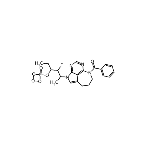 CCC(OP1(=O)OOO1)C(F)C(C)n1cc2c3c(ncnc31)N(C(=O)c1ccccc1)CCC2